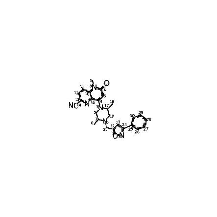 CC1CN(c2cc(=O)n(C)c3ccc(C#N)nc23)[C@@H](C)CN1Cc1cc(-c2ccccc2)no1